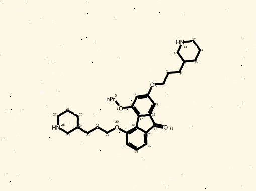 CCCOc1cc(OCCCC2CCCNC2)cc2c1-c1c(OCCCC3CCCNC3)cccc1C2=O